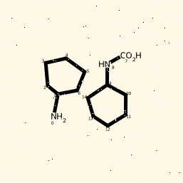 NC1CCCCC1.O=C(O)NC1CCCCC1